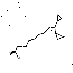 O=C(Cl)CCCCCCCC(C1CC1)C1CC1